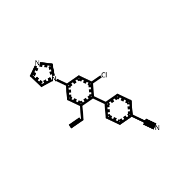 C=Cc1cc(-n2ccnc2)cc(Cl)c1-c1ccc(C#N)cc1